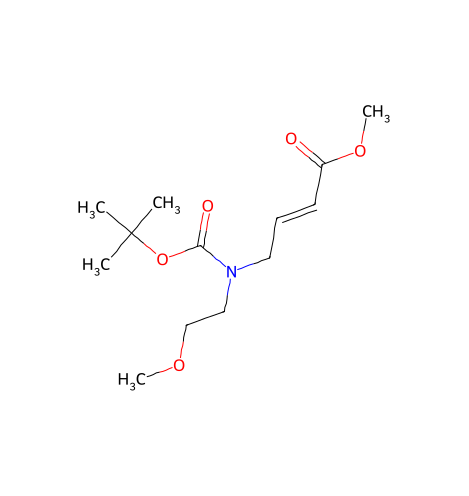 COCCN(C/C=C/C(=O)OC)C(=O)OC(C)(C)C